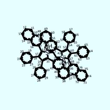 C[Si]1(CC[Si]2(C)C(c3cnc4ccccc4c3)=C(c3ccccc3)C(c3ccccc3)=C2c2cnc3ccccc3c2)C(c2cnc3ccccc3c2)=C(c2ccccc2)C(c2ccccc2)=C1c1cnc2ccccc2c1